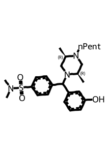 CCCCCN1C[C@@H](C)N(C(c2ccc(S(=O)(=O)N(C)C)cc2)c2cccc(O)c2)C[C@H]1C